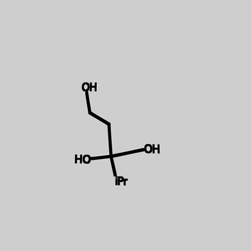 CC(C)C(O)(O)CCO